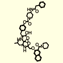 CC(C)C[C@H](NC(=O)COc1cc2ccccc2cc1C(=O)N1CCCCC1)C(=O)N[C@@H](Cc1ccc(OC(=O)N2CCC(NC(=O)Cc3ccccc3)CC2)cc1)C(=O)O